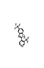 FC(F)(F)c1ccc2oc(-c3ccncc3C(F)(F)F)nc2c1